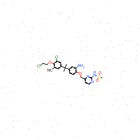 CC(C)(c1ccc(OCc2ccnc(NS(C)(=O)=O)n2)c(N)c1)c1cc(Cl)c(OCCCl)c(C#N)c1